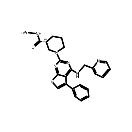 CCCNC(=O)[C@@H]1CCCN(c2nc(NCc3ccccn3)c3c(-c4ccccc4)csc3n2)C1